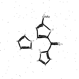 COc1ccc(C(=O)c2cc[c]s2)s1.[c]1cccs1